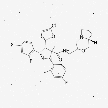 CC1(C(=O)NCC2CN3CCC[C@@H]3CO2)C(c2ccc(Cl)o2)C(c2ccc(F)cc2F)=NN1c1ccc(F)cc1F